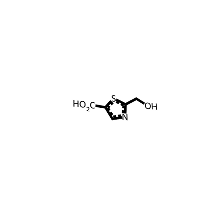 O=C(O)c1cnc(CO)s1